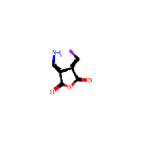 N/C=C1/C(=O)OC(=O)/C1=C/I